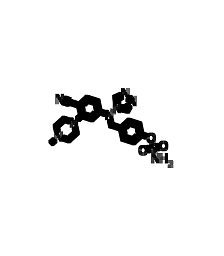 CN1CCN(c2cc(N(Cc3ccc(OS(N)(=O)=O)cc3)n3cnnc3)ccc2C#N)CC1